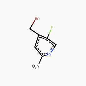 O=[N+]([O-])c1cc(CBr)c(F)cn1